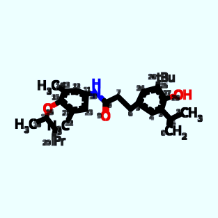 C=C(C)c1cc(CCC(=O)Nc2cc(C)c(OC(C)CC(C)C)c(C)c2)cc(C(C)(C)C)c1O